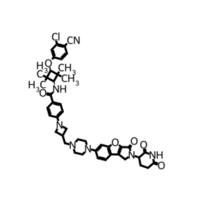 CC1(C)[C@H](NC(=O)c2ccc(N3CC(CN4CCN(c5ccc6c7c(oc6c5)C(=O)N(C5CCC(=O)NC5=O)C7)CC4)C3)cc2)C(C)(C)[C@H]1Oc1ccc(C#N)c(Cl)c1